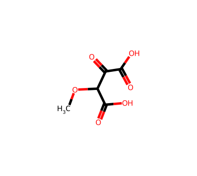 COC(C(=O)O)C(=O)C(=O)O